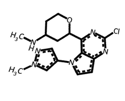 CNC1CCOC(c2nc(Cl)nc3ccn(-c4cnn(C)c4)c23)C1